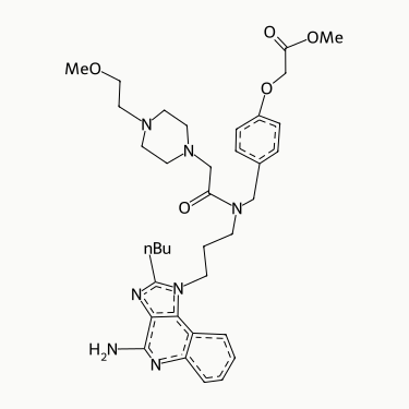 CCCCc1nc2c(N)nc3ccccc3c2n1CCCN(Cc1ccc(OCC(=O)OC)cc1)C(=O)CN1CCN(CCOC)CC1